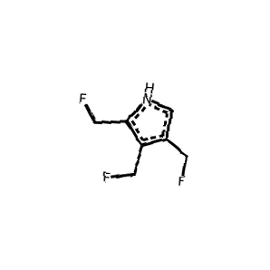 FCc1c[nH]c(CF)c1CF